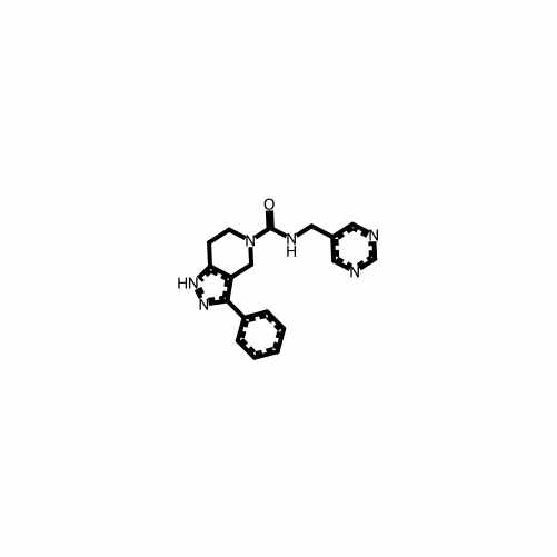 O=C(NCc1cncnc1)N1CCc2[nH]nc(-c3ccccc3)c2C1